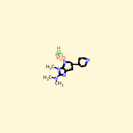 CN(C)c1nc2cc(-c3ccncc3)cnc2n1C.Cl.Cl.O